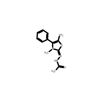 CC(=O)NN=c1sc(C)c(-c2ccccc2)n1C